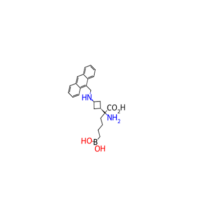 NC(CCCCB(O)O)(C(=O)O)[C@H]1C[C@@H](NCc2c3ccccc3cc3ccccc23)C1